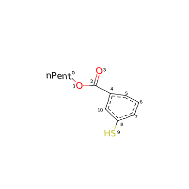 CCCCCOC(=O)c1cccc(S)c1